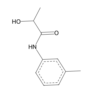 Cc1cccc(NC(=O)C(C)O)c1